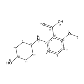 COc1ncnc(NC2CCC(O)CC2)c1C(=O)O